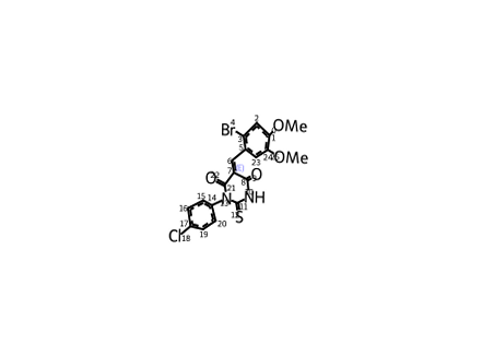 COc1cc(Br)c(/C=C2\C(=O)NC(=S)N(c3ccc(Cl)cc3)C2=O)cc1OC